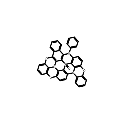 O=P12c3c4ccc5c3N(c3ccccc3O5)c3ccc5c(c31)N1c3c(cccc3Oc3c1c2c(c1ccccc31)N4c1ccccc1)O5